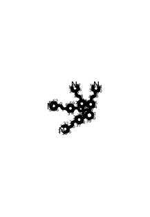 C(=C\c1ccc(CCC2(c3ccc(/C=C/c4ccncc4)cc3)CC3(c4ccc(/C=C/c5ccncc5)cc4)CCCC(c4ccc(/C=C/c5ccncc5)cc4)(C3)C2)cc1)/c1ccncc1